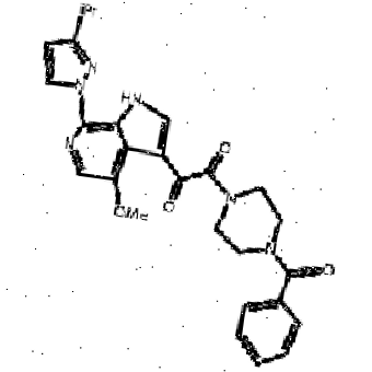 COc1cnc(-n2ccc(C(C)C)n2)c2[nH]cc(C(=O)C(=O)N3CCN(C(=O)c4ccccc4)CC3)c12